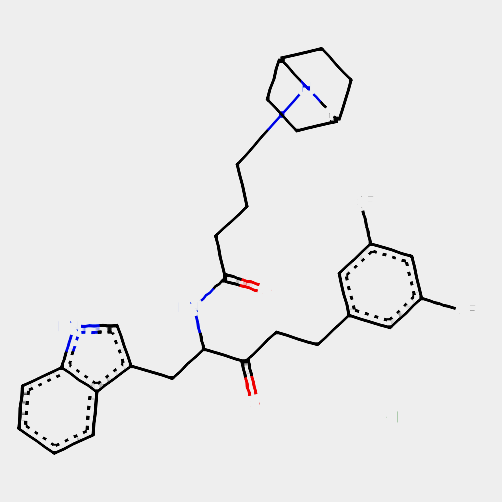 Cl.O=C(CCCN1CC2CCC(CC2)C1)NC(Cc1c[nH]c2ccccc12)C(=O)CCc1cc(C(F)(F)F)cc(C(F)(F)F)c1